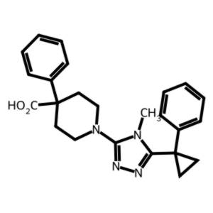 Cn1c(N2CCC(C(=O)O)(c3ccccc3)CC2)nnc1C1(c2ccccc2)CC1